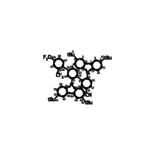 CC(C)(C)c1ccc2c(c1)c1cc(C(C)(C)C)ccc1n2-c1ccc(C#N)cc1-c1ccc(-c2ccc(C(F)(F)F)cc2C(F)(F)F)cc1-n1c2ccc(C(C)(C)C)cc2c2cc(C(C)(C)C)ccc21